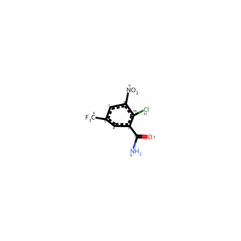 NC(=O)c1cc(C(F)(F)F)cc([N+](=O)[O-])c1Cl